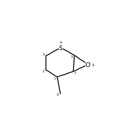 CC1CCSC2OC12